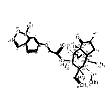 C=C[C@]1(C)C[C@@H](OC(=O)COc2ccc3c(c2)B(O)ON=C3)[C@]2(C)[C@H](C)CC[C@]3(C[C@H](F)C(=O)[C@H]32)[C@@H](C)[C@@H]1OC=O